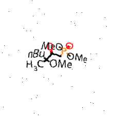 CCCCC(C)(OC)C(=O)CP(=O)(OC)OC